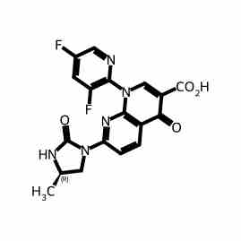 C[C@@H]1CN(c2ccc3c(=O)c(C(=O)O)cn(-c4ncc(F)cc4F)c3n2)C(=O)N1